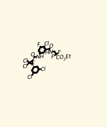 CCOC(=O)C(F)(F)CNC(=O)c1cc(NC(=O)[C@H]2[C@H](c3cc(Cl)cc(Cl)c3)C2(Cl)Cl)cc(F)c1Cl